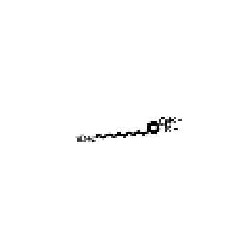 CCCCCCCCCCCCCCCCCCCCc1ccc(OB(O)O)cc1